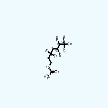 CC(=O)SCCC(F)(F)CC(F)C(F)C(F)(F)F